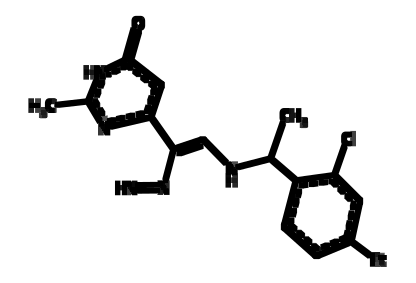 CCc1ccc(C(C)N/C=C(\N=N)c2cc(=O)[nH]c(C)n2)c(Cl)c1